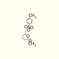 COC1CCCC(COS(=O)(=O)c2ccc(C)cc2)O1